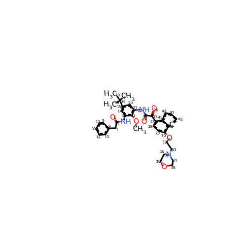 COc1c(NC(=O)Cc2ccccc2)cc(C(C)(C)C)cc1NC(=O)C(=O)c1ccc(OCCN2CCOCC2)c2ccccc12